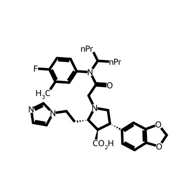 CCCC(CCC)N(C(=O)CN1C[C@H](c2ccc3c(c2)OCO3)[C@@H](C(=O)O)[C@@H]1CCn1ccnc1)c1ccc(F)c(C)c1